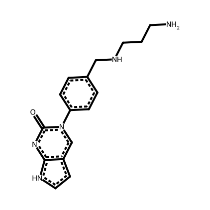 NCCCNCc1ccc(-n2cc3cc[nH]c3nc2=O)cc1